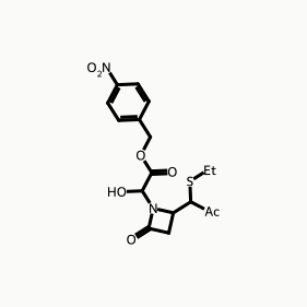 CCSC(C(C)=O)C1CC(=O)N1C(O)C(=O)OCc1ccc([N+](=O)[O-])cc1